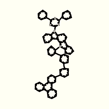 c1ccc(-c2nc(-c3ccccc3)nc(-n3c4ccccc4c4c3ccc3c5ccccc5n(-c5ccccc5-c5cccc(-c6cccc(-c7ccc8c9ccccc9c9ccccc9c8c7)c6)c5)c34)n2)cc1